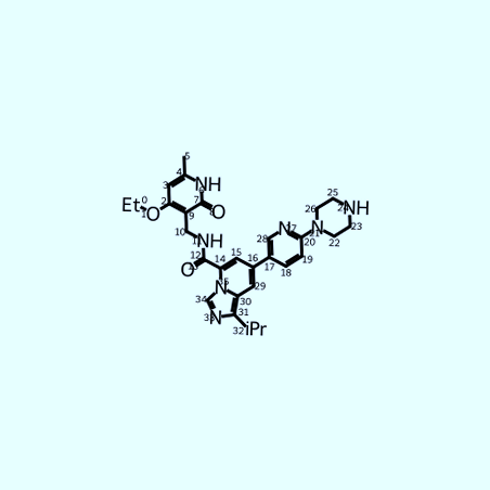 CCOc1cc(C)[nH]c(=O)c1CNC(=O)c1cc(-c2ccc(N3CCNCC3)nc2)cc2c(C(C)C)ncn12